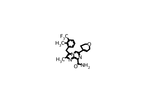 Cc1nc2c(C(N)=O)nc(C3=CCOCC3)cn2c1Cc1cccc(C(F)(F)F)c1C